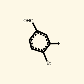 CCc1ccc(C=O)cc1F